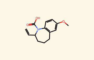 C=CC1CCCc2cc(OC)ccc2N1C(=O)O